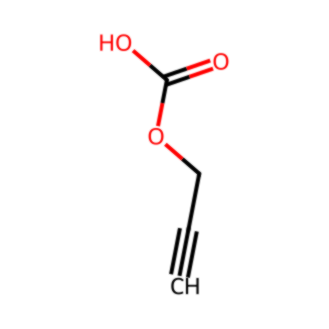 C#CCOC(=O)O